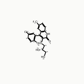 O=c1[nH]c2ccc(C(F)(F)F)cc2c(-c2cc(Cl)ccc2O)c1SC[C@@H](O)CO